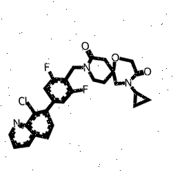 O=C1CC2(CCN1Cc1c(F)cc(-c3ccc4cccnc4c3Cl)cc1F)CN(C1CC1)C(=O)CO2